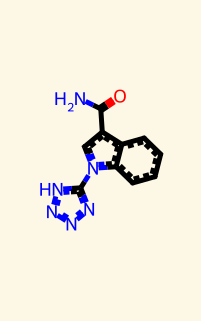 NC(=O)c1cn(-c2nnn[nH]2)c2ccccc12